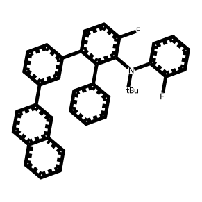 CC(C)(C)N(c1ccccc1F)c1c(F)ccc(-c2cccc(-c3ccc4ccccc4c3)c2)c1-c1ccccc1